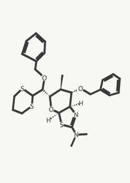 C[C@H]1[C@H](OCc2ccccc2)[C@H]2N=C(N(C)C)S[C@H]2O[C@@H]1C(OCc1ccccc1)C1SCCCS1